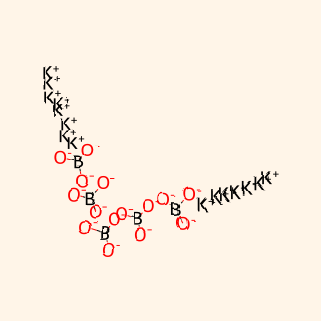 [K+].[K+].[K+].[K+].[K+].[K+].[K+].[K+].[K+].[K+].[K+].[K+].[K+].[K+].[K+].[O-]B([O-])[O-].[O-]B([O-])[O-].[O-]B([O-])[O-].[O-]B([O-])[O-].[O-]B([O-])[O-]